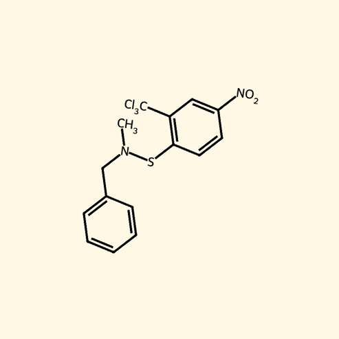 CN(Cc1ccccc1)Sc1ccc([N+](=O)[O-])cc1C(Cl)(Cl)Cl